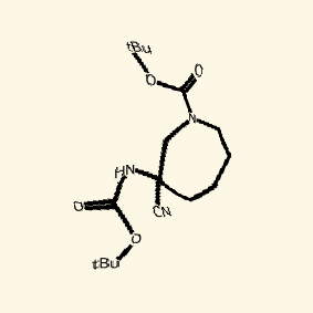 CC(C)(C)OC(=O)NC1(C#N)CCCCN(C(=O)OC(C)(C)C)C1